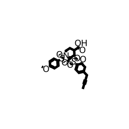 CC#CCC1=CC=C(S(=O)(=O)C2(C)CC(C(=O)O)CCN2S(=O)(=O)c2ccc(OC)cc2)C(=O)C1